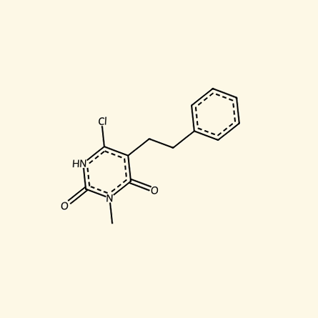 Cn1c(=O)[nH]c(Cl)c(CCc2ccccc2)c1=O